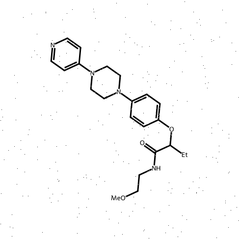 CCC(Oc1ccc(N2CCN(c3ccncc3)CC2)cc1)C(=O)NCCOC